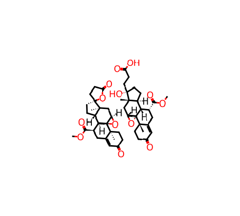 COC(=O)[C@@H]1CC2=CC(=O)CC[C@]2(C)[C@@]23O[C@@H]2C[C@@]2(C)[C@@H](CC[C@@]24CCC(=O)O4)[C@H]13.COC(=O)[C@@H]1CC2=CC(=O)CC[C@]2(C)[C@@]23O[C@@H]2C[C@@]2(C)[C@@H](CC[C@]2(O)CCC(=O)O)[C@H]13